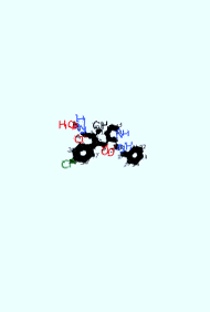 CC[C@H](C(=O)NO)C(C(=O)[C@H]1CCCN[C@@H]1C(=O)NCc1ccccc1)c1ccc(Cl)cc1